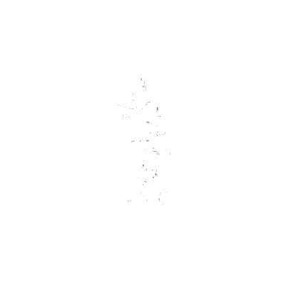 N#Cc1ccc(NC(=O)[C@@H](O)Cn2cc3c(F)cccc3n2)cc1C(F)(F)F